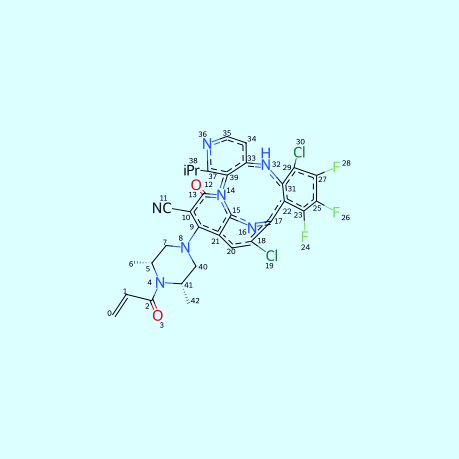 C=CC(=O)N1[C@H](C)CN(c2c(C#N)c(=O)n3c4nc(c(Cl)cc24)c2c(F)c(F)c(F)c(Cl)c2[nH]c2ccnc(C(C)C)c23)C[C@@H]1C